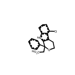 O=C(O)CC1(c2ccccc2)OCCc2c1[nH]c1cccc(Cl)c21